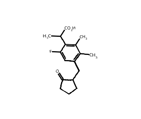 Cc1c(CC2CCCC2=O)cc(F)c(C(C)C(=O)O)c1C